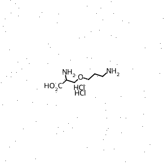 Cl.Cl.NCCCOCC(N)C(=O)O